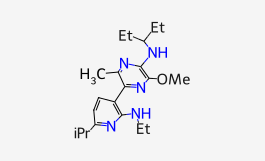 CCNc1nc(C(C)C)ccc1-c1nc(OC)c(NC(CC)CC)nc1C